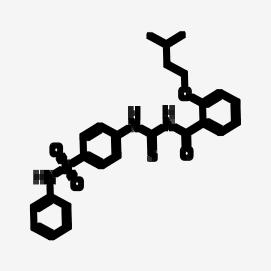 CC(C)CCOc1ccccc1C(=O)NC(=S)Nc1ccc(S(=O)(=O)Nc2ccccc2)cc1